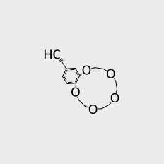 C#Cc1ccc2c(c1)OCCOCCOCCOCCO2